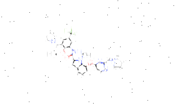 COc1c(CN2CCCC2)cc(C(F)(F)F)cc1NC(=O)c1cc2cccc(Oc3ccnc(CN4CCCC4)n3)c2n1C